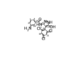 Nc1cccc(C(=O)Nc2n[nH]c(O)c2-c2c(Cl)cc(Cl)cc2Cl)c1